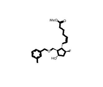 COC(=O)CCC/C=C\C[C@H]1[C@H](COCc2cccc(C)c2)[C@@H](O)C[C@@H]1F